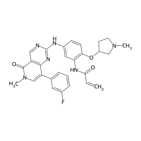 C=CC(=O)Nc1cc(Nc2ncc3c(=O)n(C)cc(-c4cccc(F)c4)c3n2)ccc1OC1CCN(C)C1